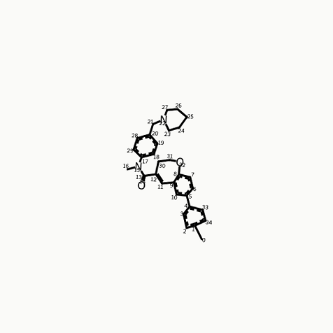 Cc1ccc(-c2ccc3c(c2)C=C(C(=O)N(C)c2ccc(CN4CCCCC4)cc2)CCO3)cc1